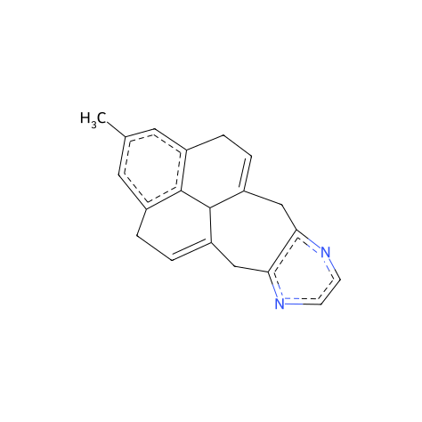 Cc1cc2c3c(c1)CC=C1Cc4nccnc4CC(=CC2)C13